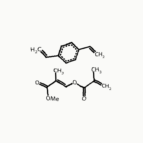 C=C(C)C(=O)OC=C(C)C(=O)OC.C=Cc1ccc(C=C)cc1